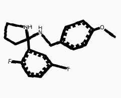 COc1ccc(CNC2(c3cc(F)ccc3F)CCCN2)cc1